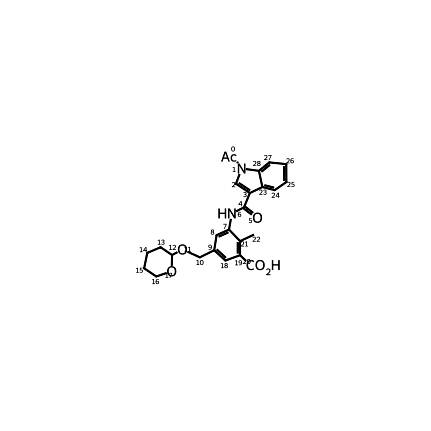 CC(=O)n1cc(C(=O)Nc2cc(COC3CCCCO3)cc(C(=O)O)c2C)c2ccccc21